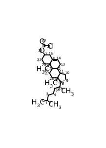 CC(C)CCC[C@@H](C)[C@H]1CCC2C3CC=C4CC(OC(=O)Cl)CCC4(C)C3CCC21C